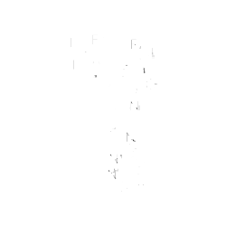 O=C(c1ccc(C(F)(F)F)cc1C(F)(F)F)N1CCN(c2cccnn2)CC1